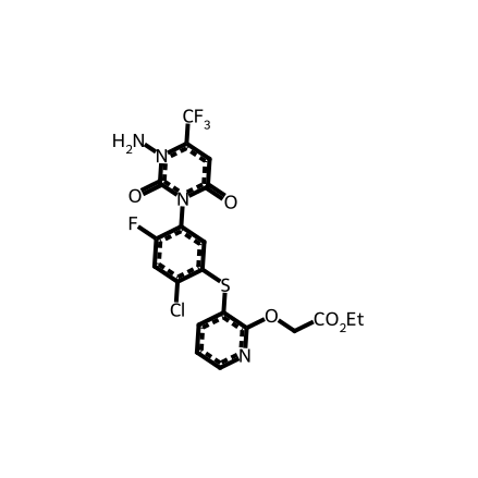 CCOC(=O)COc1ncccc1Sc1cc(-n2c(=O)cc(C(F)(F)F)n(N)c2=O)c(F)cc1Cl